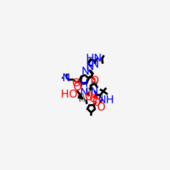 CC[C@@H]1C[C@]1(NC(=O)[C@@H]1C[C@@H](Oc2cc(-n3ccc(NC(C)C)n3)nc3cc(OCCN(C)C)ccc23)CN1C(=O)[C@@H](NC(=O)OC1CCC(C)C1)C(C)(C)C)C(=O)O